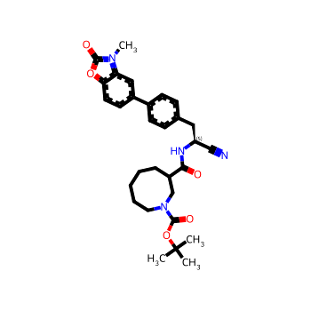 Cn1c(=O)oc2ccc(-c3ccc(C[C@@H](C#N)NC(=O)C4CCCCCN(C(=O)OC(C)(C)C)C4)cc3)cc21